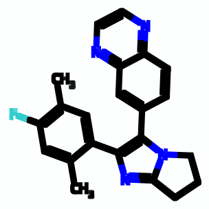 Cc1cc(-c2nc3n(c2-c2ccc4nccnc4c2)CCC3)c(C)cc1F